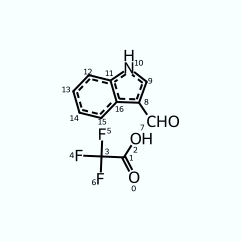 O=C(O)C(F)(F)F.O=Cc1c[nH]c2ccccc12